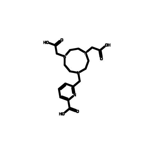 O=C(O)CN1CCN(CC(=O)O)CCN(Cc2cccc(C(=O)O)n2)CC1